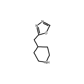 c1nnc(CC2CCNCC2)o1